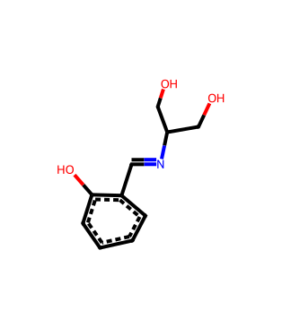 OCC(CO)N=Cc1ccccc1O